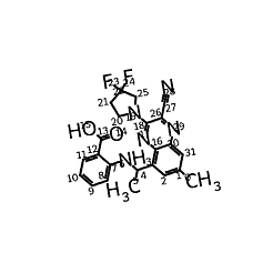 Cc1cc(C(C)Nc2ccccc2C(=O)O)c2nc(N3CCC(F)(F)C3)c(C#N)nc2c1